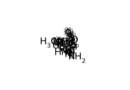 CN1CCN(C)C(c2ccc(Nc3nc(N)nc(-c4cccc(NC(=O)c5cc6c(s5)CCCC6)c4CO)n3)cc2)C1=O